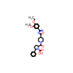 CCOc1ccc(-c2noc(C3CCN(C(=O)C4CCC(c5ccccc5)N4C(=O)O)CC3)n2)cc1OC